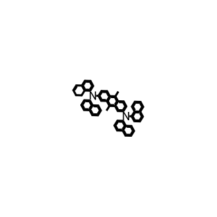 Cc1c2ccc(N(c3cccc4c3CCC=C4)c3cccc4ccccc34)cc2c(C)c2cc(N(c3cccc4ccccc34)c3cccc4ccccc34)ccc12